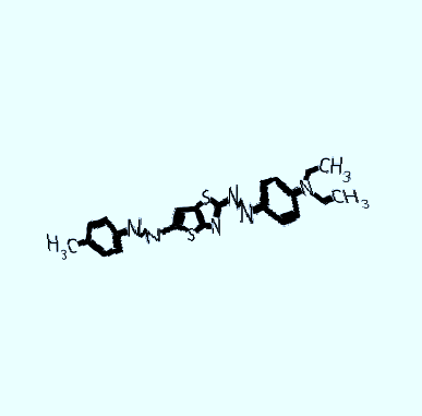 CCN(CC)c1ccc(N=Nc2nc3sc(N=Nc4ccc(C)cc4)cc3s2)cc1